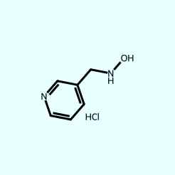 Cl.ONCc1cccnc1